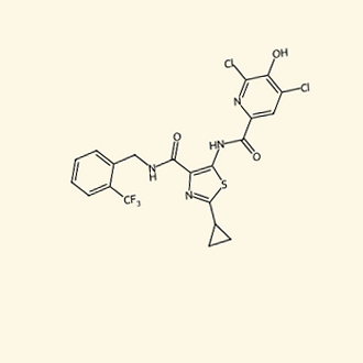 O=C(Nc1sc(C2CC2)nc1C(=O)NCc1ccccc1C(F)(F)F)c1cc(Cl)c(O)c(Cl)n1